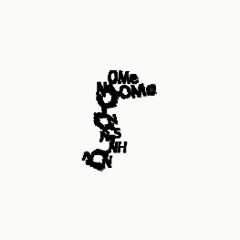 COc1cc(-c2ccc3nc(Nc4cnccn4)sc3n2)cnc1OC